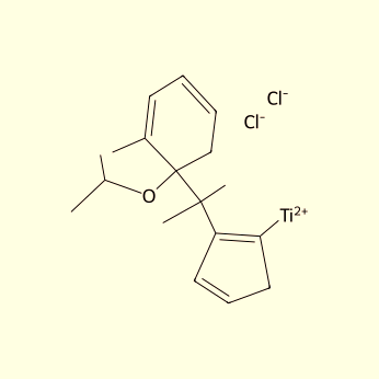 CC1=CC=CCC1(OC(C)C)C(C)(C)C1=[C]([Ti+2])CC=C1.[Cl-].[Cl-]